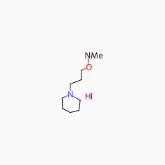 CNOCCCN1CCCCC1.I